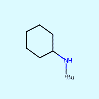 [CH2]C(C)(C)NC1CCCCC1